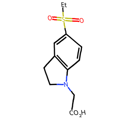 CCS(=O)(=O)c1ccc2c(c1)CCN2CC(=O)O